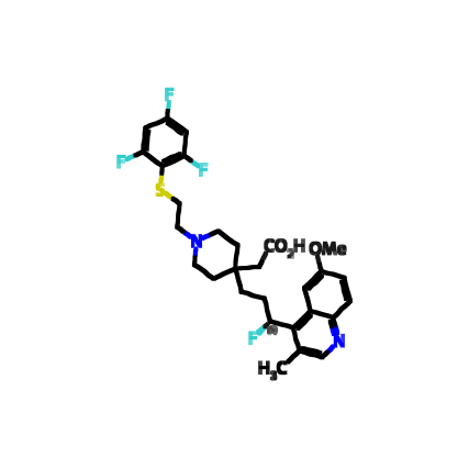 COc1ccc2ncc(C)c([C@@H](F)CCC3(CC(=O)O)CCN(CCSc4c(F)cc(F)cc4F)CC3)c2c1